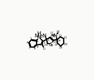 CNC1(c2[nH]c3ccccc3c2C)C=C(C2(N(C)C)CCCCC2)SC1